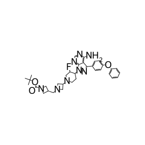 CC(C)(C)OC(=O)N1CC(CN2CC(N3CC[C@H](n4nc(-c5ccc(Oc6ccccc6)cc5)c5c(N)ncnc54)[C@H](F)C3)C2)C1